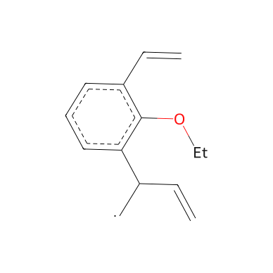 [CH2]C(C=C)c1cccc(C=C)c1OCC